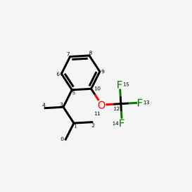 CC(C)C(C)c1ccccc1OC(F)(F)F